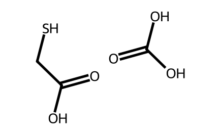 O=C(O)CS.O=C(O)O